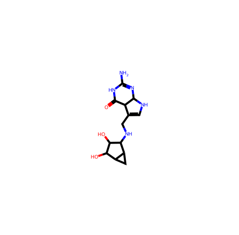 NC1=NC2NC=C(CNC3C(O)C(O)C4CC43)C2C(=O)N1